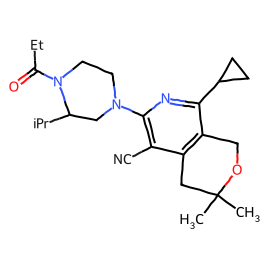 CCC(=O)N1CCN(c2nc(C3CC3)c3c(c2C#N)CC(C)(C)OC3)CC1C(C)C